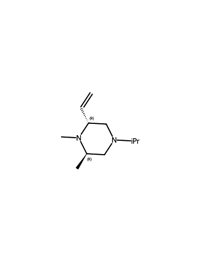 C=C[C@@H]1CN(C(C)C)C[C@@H](C)N1C